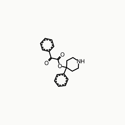 O=C(OC1(c2ccccc2)CCNCC1)C(=O)c1ccccc1